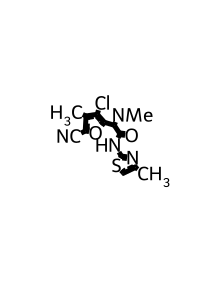 CNC(C(=O)Nc1nc(C)cs1)c1oc(C#N)c(C)c1Cl